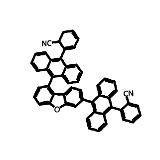 N#Cc1ccccc1-c1c2ccccc2c(-c2ccc3c(c2)oc2cccc(-c4c5ccccc5c(C5=CC=CCC5C#N)c5ccccc45)c23)c2ccccc12